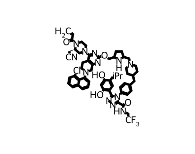 C=CC(=O)N1CCN(c2nc(OCC3CCC(CN4CCC(Cc5ccc(-n6c(C(=O)NCC(F)(F)F)nnc6-c6cc(C(C)C)c(O)cc6O)cc5)CC4)N3)nc3c2CCN(c2cccc4cccc(Cl)c24)C3)C[C@@H]1CC#N